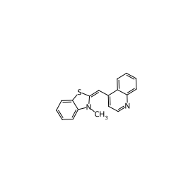 CN1C(=Cc2ccnc3ccccc23)Sc2ccccc21